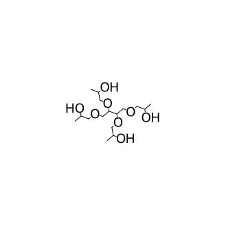 CC(O)COCC(OCC(C)O)C(COCC(C)O)OCC(C)O